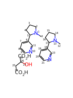 CN1CCCC1c1cccnc1.CN1CCCC1c1cccnc1.O=C(O)CC(O)C(=O)O